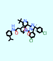 CCOc1cc(C(C)(C)C)ncc1C1=N[C@@](C)(c2ccc(Cl)cc2)[C@@](C)(c2ccc(Cl)cc2)N1C(=O)N1CCC(CC(=O)Nc2cccc(C(C)C)c2)CC1